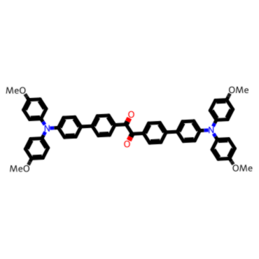 COc1ccc(N(c2ccc(OC)cc2)c2ccc(-c3ccc(C(=O)C(=O)c4ccc(-c5ccc(N(c6ccc(OC)cc6)c6ccc(OC)cc6)cc5)cc4)cc3)cc2)cc1